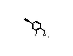 C#Cc1ccc(CN)c(F)c1